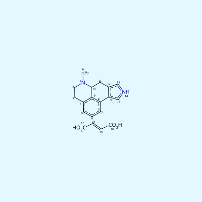 CCCN1CCc2cccc3c2C1Cc1c[nH]cc1-3.O=C(O)C=CC(=O)O